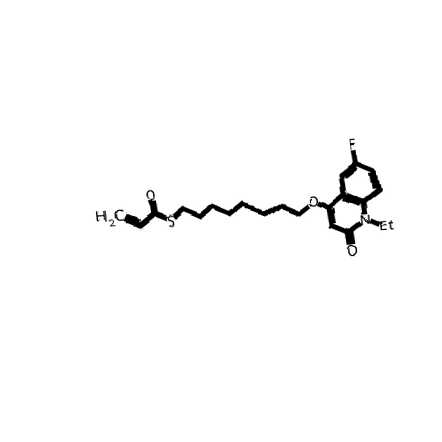 C=CC(=O)SCCCCCCCCOc1cc(=O)n(CC)c2ccc(F)cc12